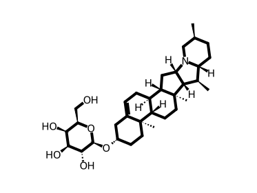 C[C@H]1CC[C@@H]2[C@@H](C)[C@H]3[C@H](C[C@H]4[C@@H]5CC=C6C[C@@H](O[C@@H]7O[C@H](CO)[C@H](O)[C@H](O)[C@H]7O)CC[C@]6(C)[C@H]5CC[C@]34C)N2C1